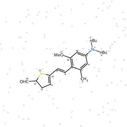 CCCCN(CCCC)c1cc(C)c(/C=C/C2=CCC(C=O)S2)c(OC)c1